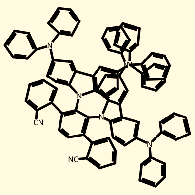 N#Cc1ccccc1-c1ccc(-c2ccccc2C#N)c(-n2c3ccc(N(c4ccccc4)c4ccccc4)cc3c3cc(N(c4ccccc4)c4ccccc4)ccc32)c1-n1c2ccc(N(c3ccccc3)c3ccccc3)cc2c2cc(N(c3ccccc3)c3ccccc3)ccc21